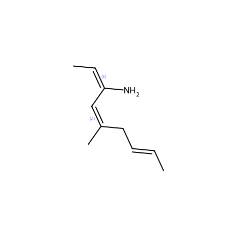 CC=CC/C(C)=C\C(N)=C/C